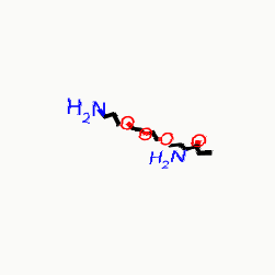 C=CC(=O)C(N)CCOCCOCCOCCCN